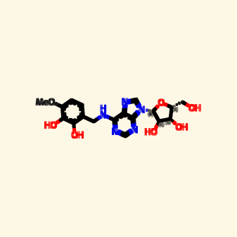 COc1ccc(CNc2ncnc3c2ncn3[C@@H]2O[C@H](CO)[C@@H](O)[C@H]2O)c(O)c1O